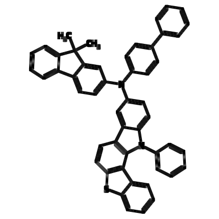 CC1(C)c2ccccc2-c2ccc(N(c3ccc(-c4ccccc4)cc3)c3ccc4c(c3)c3ccc5sc6ccccc6c5c3n4-c3ccccc3)cc21